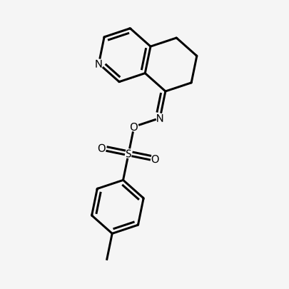 Cc1ccc(S(=O)(=O)O/N=C2/CCCc3ccncc32)cc1